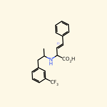 CC(Cc1cccc(C(F)(F)F)c1)NC(/C=C/c1ccccc1)C(=O)O